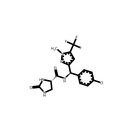 Cn1nc([C@H](NC(=O)[C@@H]2CNC(=O)N2)c2ccc(Cl)cc2)cc1C(F)(F)F